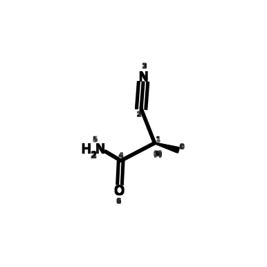 C[C@H](C#N)C(N)=O